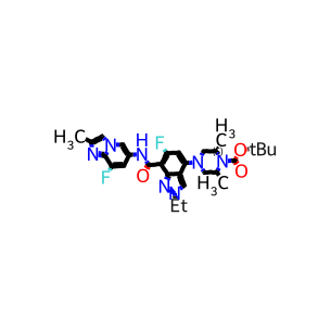 CCn1cc2c(N3CC(C)N(C(=O)OC(C)(C)C)[C@@H](C)C3)cc(F)c(C(=O)Nc3cc(F)c4nc(C)cn4c3)c2n1